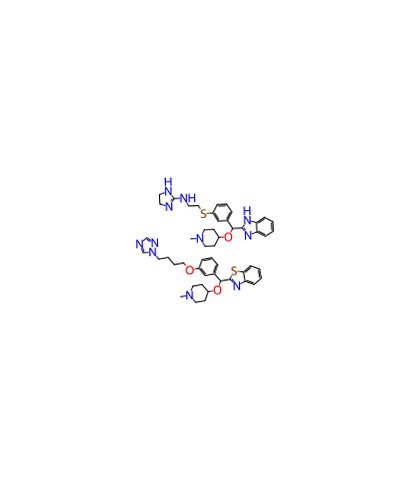 CN1CCC(OC(c2cccc(OCCCCn3cncn3)c2)c2nc3ccccc3s2)CC1.CN1CCC(OC(c2cccc(SCCNC3=NCCN3)c2)c2nc3ccccc3[nH]2)CC1